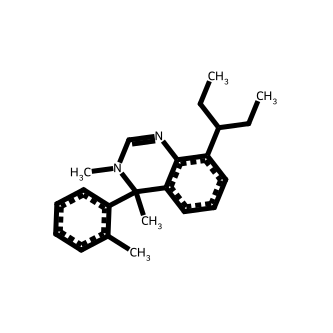 CCC(CC)c1cccc2c1N=CN(C)C2(C)c1ccccc1C